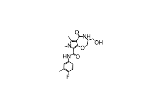 Cc1cc(NC(=O)c2c3c(c(C)n2C)C(=O)NC(CO)CO3)ccc1F